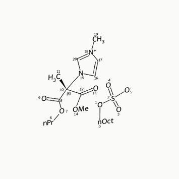 CCCCCCCCOS(=O)(=O)[O-].CCCOC(=O)[C@@](C)(C(=O)OC)n1cc[n+](C)c1